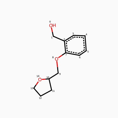 OCc1ccccc1OCC1CCCO1